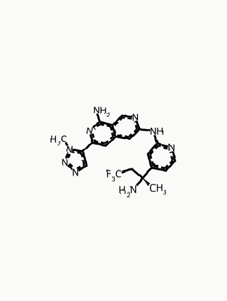 Cn1nncc1-c1cc2cc(Nc3cc([C@](C)(N)CC(F)(F)F)ccn3)ncc2c(N)n1